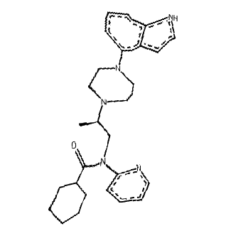 C[C@H](CN(C(=O)C1CCCCC1)c1ccccn1)N1CCN(c2cccc3[nH]ccc23)CC1